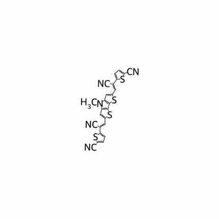 Cn1c2cc(/C=C(\C#N)c3ccc(C#N)s3)sc2c2sc(/C=C(\C#N)c3ccc(C#N)s3)cc21